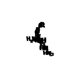 CCOCCN1CCN(c2cc(N)nc(NCc3ccc(CNCCCNC4CCCCC4)cc3)n2)CC1